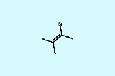 CC(C)=C(C)Br